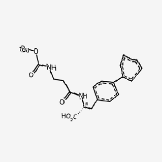 CC(C)(C)OC(=O)NCCC(=O)N[C@H](Cc1ccc(-c2ccccc2)cc1)C(=O)O